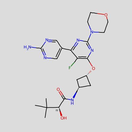 CC(C)(C)[C@H](O)C(=O)N[C@H]1C[C@H](Oc2nc(N3CCOCC3)nc(-c3cnc(N)nc3)c2F)C1